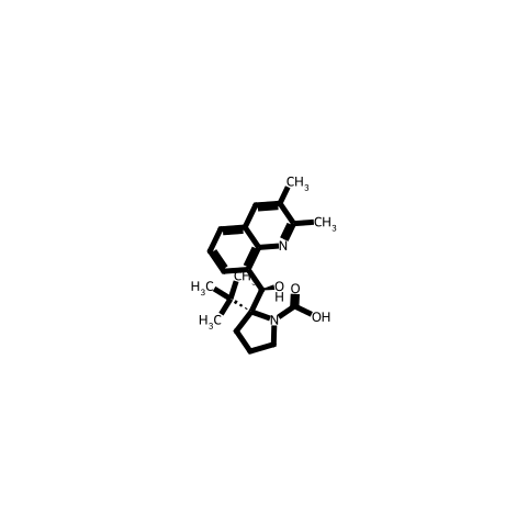 Cc1cc2cccc([C@@H](O)[C@]3(C(C)(C)C)CCCN3C(=O)O)c2nc1C